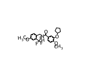 COc1ccc(CNC(=O)c2ccc(OC)c(OC3CCCC3)c2)c(C(F)(F)F)c1